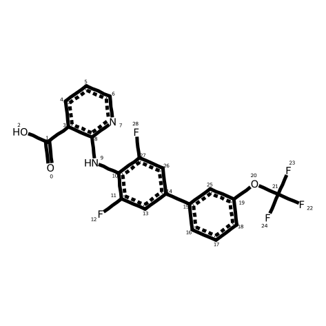 O=C(O)c1cccnc1Nc1c(F)cc(-c2cccc(OC(F)(F)F)c2)cc1F